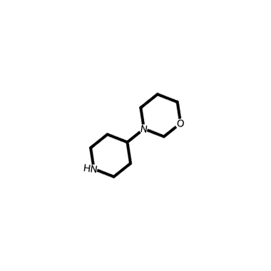 C1COCN(C2CCNCC2)C1